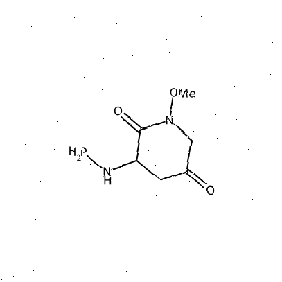 CON1CC(=O)CC(NP)C1=O